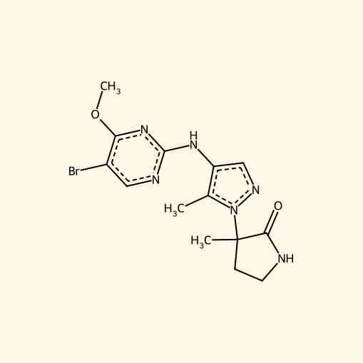 COc1nc(Nc2cnn(C3(C)CCNC3=O)c2C)ncc1Br